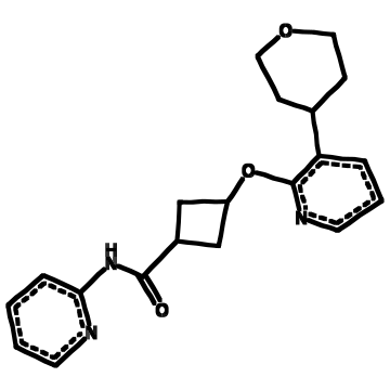 O=C(Nc1ccccn1)C1CC(Oc2ncccc2C2CCOCC2)C1